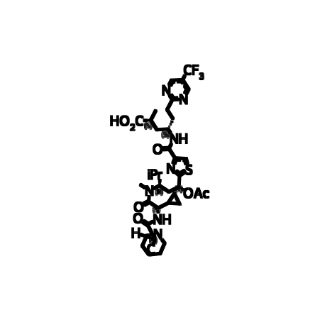 CC(=O)O[C@H](C[C@H](C(C)C)N(C)C(=O)[C@@H](NC(=O)[C@H]1CC2CCN1CC2)C1CC1)c1nc(C(=O)N[C@@H](CCc2ncc(C(F)(F)F)cn2)C[C@H](C)C(=O)O)cs1